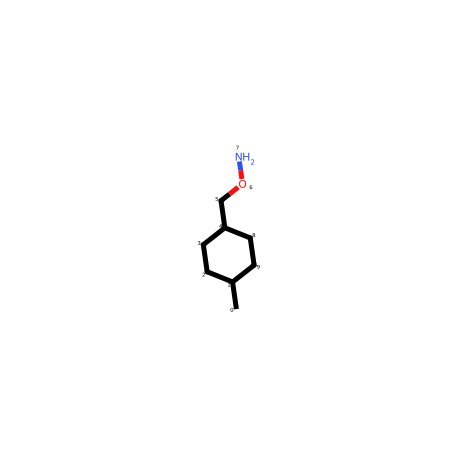 CC1CCC(CON)CC1